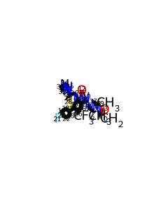 C=CC(=O)N1[C@H](C)CN(c2nc(=O)n3c4c(c(-c5ccc(F)cc5)c(C(F)(F)F)cc24)SCC(n2ccnn2)C3)C[C@@H]1C